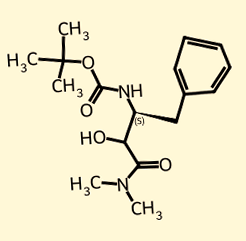 CN(C)C(=O)C(O)[C@H](Cc1ccccc1)NC(=O)OC(C)(C)C